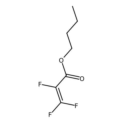 CCCCOC(=O)C(F)=C(F)F